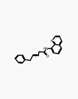 O=C(C/C=C/Cc1ccccc1)Nc1cccc2cccnc12